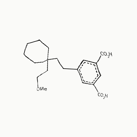 COCCC1(CCc2cc(C(=O)O)cc(C(=O)O)c2)CCCCC1